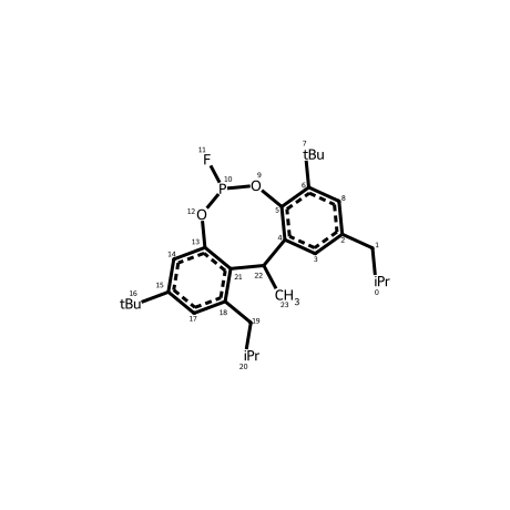 CC(C)Cc1cc2c(c(C(C)(C)C)c1)OP(F)Oc1cc(C(C)(C)C)cc(CC(C)C)c1C2C